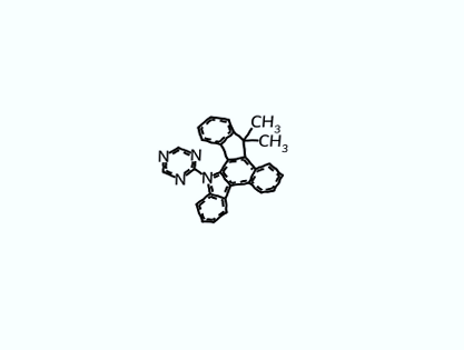 CC1(C)c2ccccc2-c2c1c1ccccc1c1c3ccccc3n(-c3ncncn3)c21